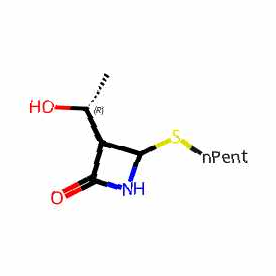 CCCCCSC1NC(=O)C1[C@@H](C)O